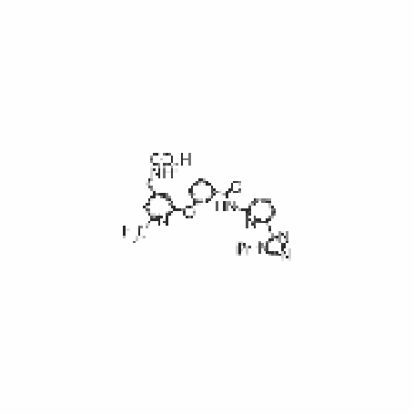 CC(C)n1cnnc1-c1cccc(NC(=O)c2cccc(Oc3cc(CNC(=O)O)cc(C(F)(F)F)n3)c2)n1